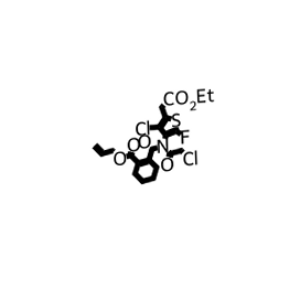 C=CCOC(=O)C1=C(C(=O)N(C(=O)CCl)c2c(F)sc(CC(=O)OCC)c2Cl)CCCC1